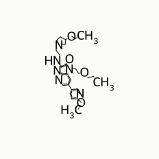 CCCOCCn1c(=O)c(NCCN2CCC(OCC)C2)nc2ncc(-c3ccc(OC)nc3)cc21